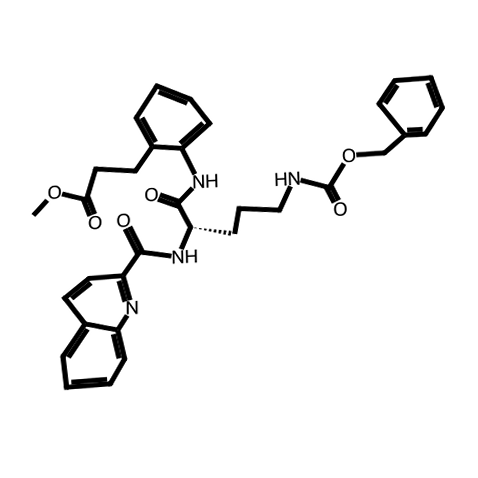 COC(=O)CCc1ccccc1NC(=O)[C@H](CCCNC(=O)OCc1ccccc1)NC(=O)c1ccc2ccccc2n1